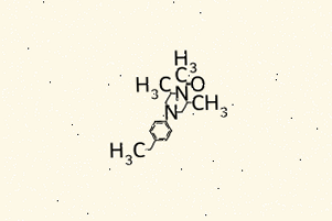 CCc1ccc(N2CC(C)N(C(C)=O)C(C)C2)cc1